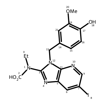 CCN(C(=O)O)c1nc2cc(I)cnc2n1Cc1ccc(O)c(OC)c1